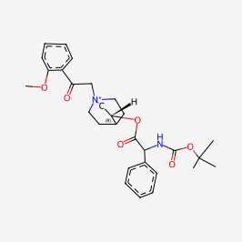 COc1ccccc1C(=O)C[N+]12CCC(CC1)[C@@H](OC(=O)C(NC(=O)OC(C)(C)C)c1ccccc1)C2